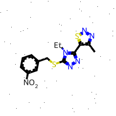 CCn1c(SCc2cccc([N+](=O)[O-])c2)nnc1-c1snnc1C